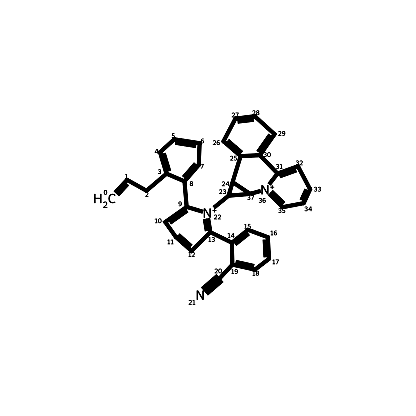 C=CCc1ccccc1-c1cccc(-c2ccccc2C#N)[n+]1C1C2c3ccccc3-c3cccc[n+]3C21